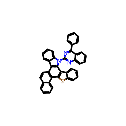 c1ccc(-c2nc(-n3c4ccccc4c4c5ccc6ccccc6c5c5sc6ccccc6c5c43)nc3ccccc23)cc1